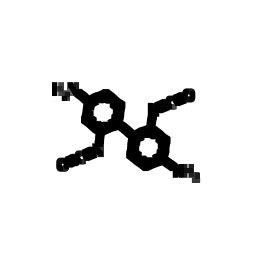 Nc1ccc(-c2ccc(N)cc2N=C=O)c(N=C=O)c1